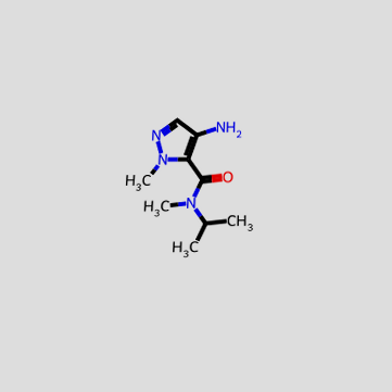 CC(C)N(C)C(=O)c1c(N)cnn1C